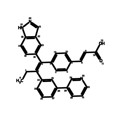 CC/C(=C(/c1ccc(/C=C/C(=O)O)cc1)c1ccc2[nH]ncc2c1)c1cccc(-c2cccnc2)c1